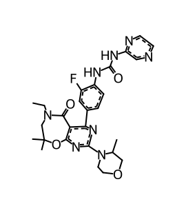 CCN1CC(C)(C)Oc2nc(N3CCOCC3C)nc(-c3ccc(NC(=O)Nc4cnccn4)c(F)c3)c2C1=O